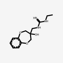 CCNC(=N)NCC1(O)COc2ccccc2OC1